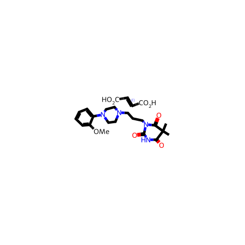 COc1ccccc1N1CCN(CCCN2C(=O)NC(=O)C(C)(C)C2=O)CC1.O=C(O)/C=C/C(=O)O